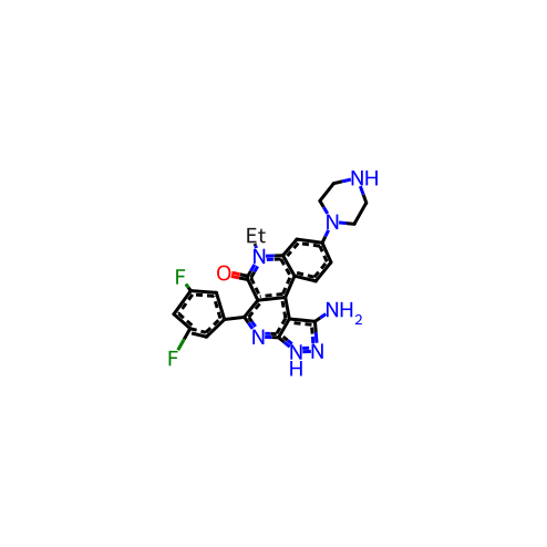 CCn1c(=O)c2c(-c3cc(F)cc(F)c3)nc3[nH]nc(N)c3c2c2ccc(N3CCNCC3)cc21